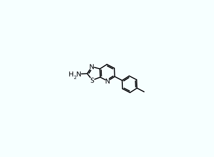 Cc1ccc(-c2ccc3nc(N)sc3n2)cc1